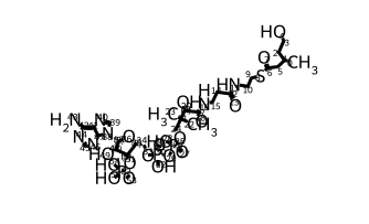 CC(CCO)CC(=O)SCCNC(=O)CCNC(=O)[C@H](O)C(C)(C)COP(=O)(O)OP(=O)(O)OC[C@H]1O[C@@H](n2cnc3c(N)ncnc32)[C@H](O)[C@@H]1OP(=O)(O)O